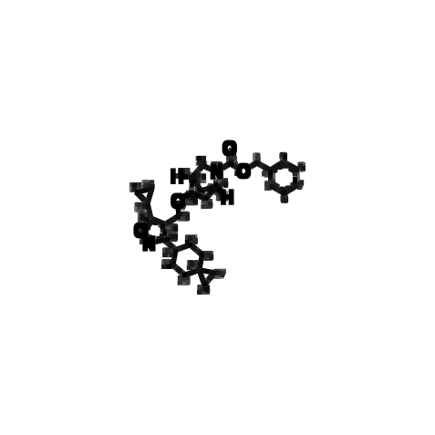 O=C(OCc1ccccc1)N1C[C@@H]2C[C@H]1C[C@H]2OCc1c(C2CCC3(CC2)CC3)noc1C1CC1